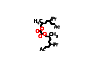 CC(=O)CCC(CCC(C)COC(=O)C(=O)OCC(C)CCC(CCC(C)=O)C(C)C)C(C)C